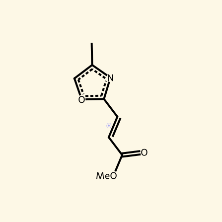 COC(=O)/C=C/c1nc(C)co1